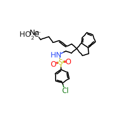 O=C(O)CCCC=CCC1(CCNS(=O)(=O)c2ccc(Cl)cc2)CCc2ccccc21.[Na]